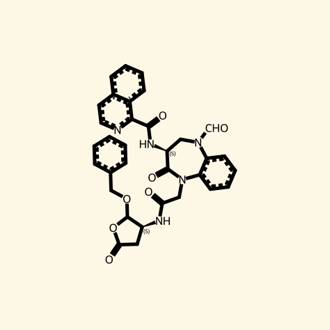 O=CN1C[C@H](NC(=O)c2nccc3ccccc23)C(=O)N(CC(=O)N[C@H]2CC(=O)OC2OCc2ccccc2)c2ccccc21